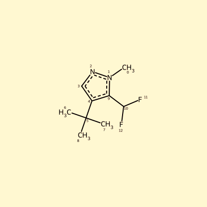 Cn1ncc(C(C)(C)C)c1C(F)F